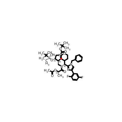 CC(=O)O[C@@H](C)C(=O)N(C[C@@H]1CN(C(=O)OC(C)(C)C)C[C@H]1O[Si](C)(C)C(C)(C)C)[C@@H](c1nc(-c2cc(F)ccc2F)cn1Cc1ccccc1)C1CCOCC1